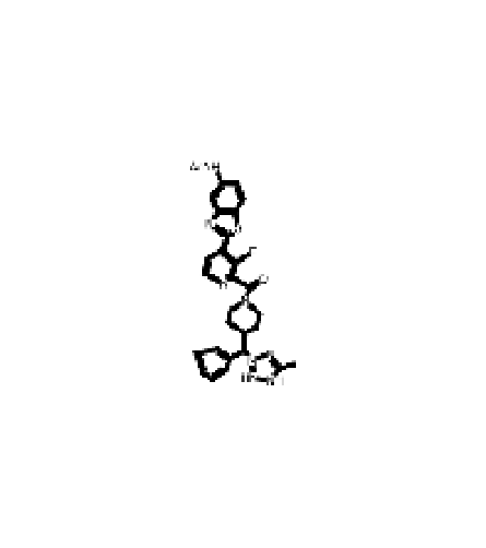 CC(=O)Nc1ccc2oc(-c3ccnc(C(=O)N4CCC(C(c5ccccc5)N5N=C(C)NN5)CC4)c3F)nc2c1